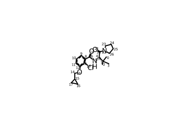 CC(C)(C)[C@H](NC(=O)c1cccc(OCC2CC2)c1Cl)C(=O)N1CCCC1